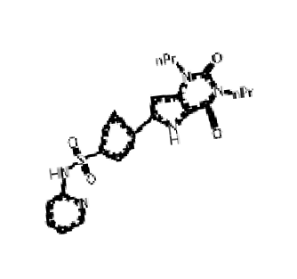 CCCn1c(=O)c2[nH]c(-c3ccc(S(=O)(=O)Nc4ccccn4)cc3)cc2n(CCC)c1=O